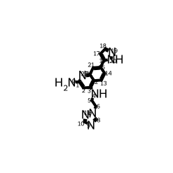 Nc1cc(NCCn2cncn2)c2ccc(-c3ccn[nH]3)cc2n1